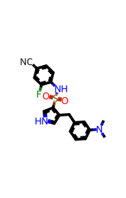 CN(C)c1cccc(Cc2c[nH]cc2S(=O)(=O)Nc2ccc(C#N)cc2F)c1